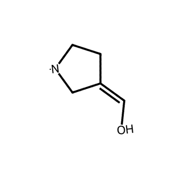 OC=C1CC[N]C1